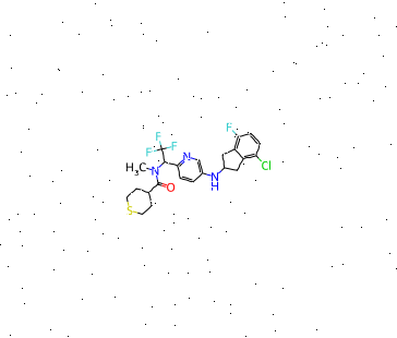 CN(C(=O)C1CCSCC1)C(c1ccc(NC2Cc3c(F)ccc(Cl)c3C2)cn1)C(F)(F)F